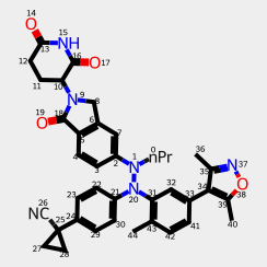 CCCN(c1ccc2c(c1)CN(C1CCC(=O)NC1=O)C2=O)N(c1ccc(C2(C#N)CC2)cc1)c1cc(-c2c(C)noc2C)ccc1C